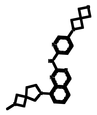 CN1CC2(CCN(c3cccc4cnc(Nc5ccc(N6CC7(COC7)C6)cn5)nc34)C2)C1